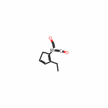 CCC1=[C]([Rh](=[C]=O)=[C]=O)CC=C1